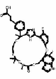 CN1CC(C)(C)CCCCC(C)(c2cccc(CCC(=O)O)c2)c2cnc([nH]2)-c2cc(ccc2F)Oc2c(F)cc3[nH]ccc3c2CCC1=O